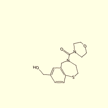 O=C(N1CCOCC1)N1CCSc2ccc(CO)cc2C1